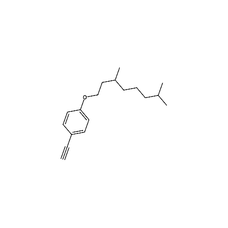 C#Cc1ccc(OCCC(C)CCCC(C)C)cc1